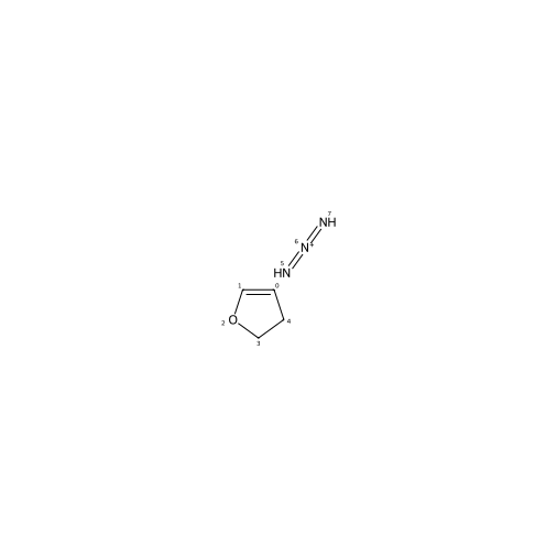 C1=COCC1.N=[N+]=N